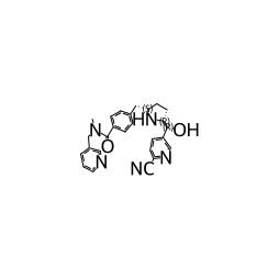 CN(Cc1cccnc1)C(=O)c1ccc(C[C@@H]2CC[C@H]([C@H](O)c3ccc(C#N)nc3)N2)cc1